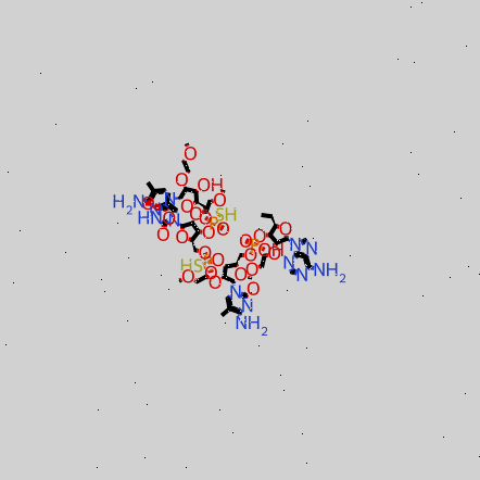 CC[C@H]1O[C@@H](n2cnc3c(N)ncnc32)[C@@H](OCCOC)C1OP(=O)(O)OC[C@H]1O[C@@H](n2cc(C)c(N)nc2=O)[C@@H](OCCOC)C1OP(=O)(S)OC[C@H]1O[C@@H](n2cc(C)c(=O)[nH]c2=O)[C@@H](OCCOC)C1OP(=O)(S)OC[C@H]1O[C@@H](n2cc(C)c(N)nc2=O)[C@@H](OCCOC)C1O